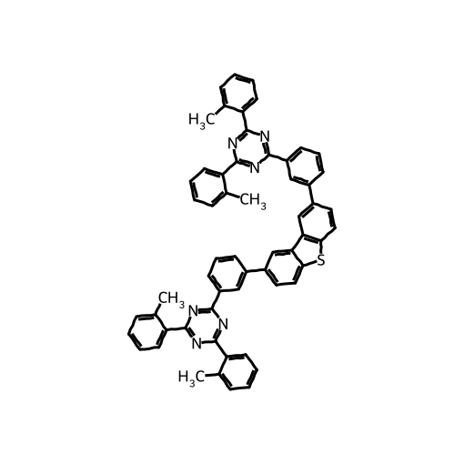 Cc1ccccc1-c1nc(-c2cccc(-c3ccc4sc5ccc(-c6cccc(-c7nc(-c8ccccc8C)nc(-c8ccccc8C)n7)c6)cc5c4c3)c2)nc(-c2ccccc2C)n1